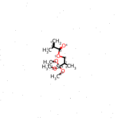 C=C(C)C(=O)OCC(C)[Si](OC)(OC)OC